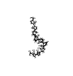 CC(C)=C1CCC(C2CC/C(=c3/cc/c(=C4\C=CC(C5C=CC(C6C=CC(C7CCC(C8CCC(C9CCC(C(C)C)N9C)N8C)N7C)N6C)N5C)N4C)n3C)N2C)N1C